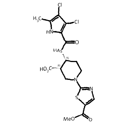 COC(=O)c1cnc(N2CC[C@@H]([AsH]C(=O)c3[nH]c(C)c(Cl)c3Cl)[C@@H](C(=O)O)C2)s1